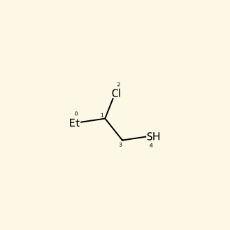 CCC(Cl)CS